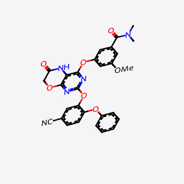 COc1cc(Oc2nc(Oc3cc(C#N)ccc3Oc3ccccc3)nc3c2NC(=O)CO3)cc(C(=O)N(C)C)c1